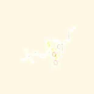 CCCC12CSC(CCC(C)(C)C)([S+]([O-])C1)[S+]([O-])C2